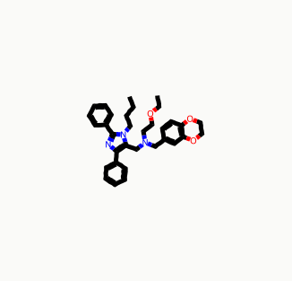 CCCCn1c(-c2ccccc2)nc(-c2ccccc2)c1CN(CCOCC)Cc1ccc2c(c1)OCCO2